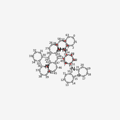 c1ccc(N(c2ccc(-n3c4ccccc4c4ccccc43)cc2)c2cccc3c(-c4ccccc4-c4ccccn4)c4ccccc4c(-c4ccccc4-c4ccccn4)c23)cc1